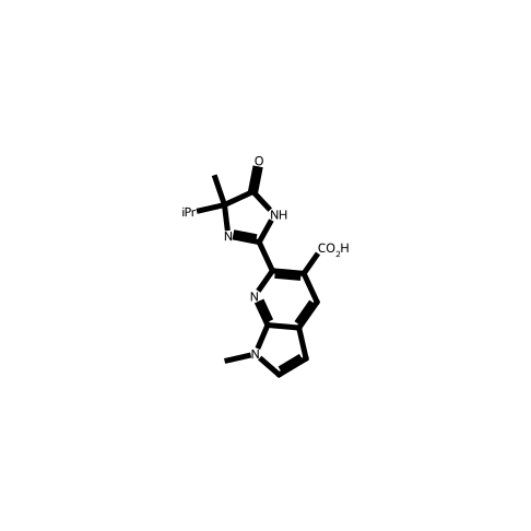 CC(C)C1(C)N=C(c2nc3c(ccn3C)cc2C(=O)O)NC1=O